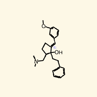 COc1cccc(/C=C2\CCC(CN(C)C)C2(O)CCc2ccccc2)c1